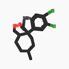 CNC(=O)C1(c2ccc(Cl)c(Cl)c2)CCC(C)CCC1CO